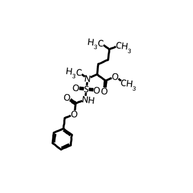 COC(=O)C(CCC(C)C)N(C)S(=O)(=O)NC(=O)OCc1ccccc1